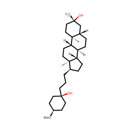 CO[C@H]1CC[C@](O)(CCC[C@@H]2CC[C@H]3[C@@H]4CC[C@H]5C[C@](O)(C(F)(F)F)CC[C@]5(C)[C@H]4CC[C@]23C)CC1